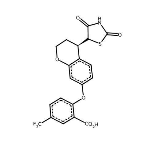 O=C1NC(=O)C([C@@H]2CCOc3cc(Oc4ccc(C(F)(F)F)cc4C(=O)O)ccc32)S1